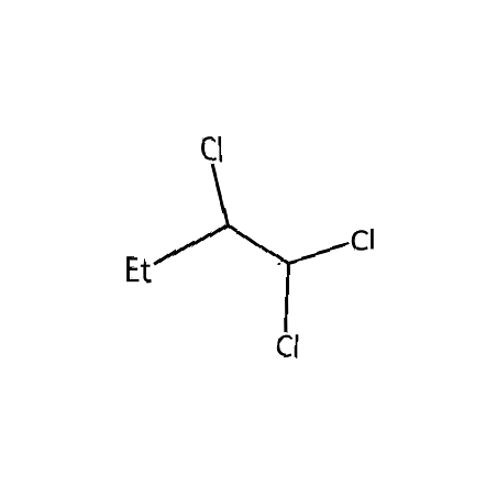 [CH2]CC(Cl)[C](Cl)Cl